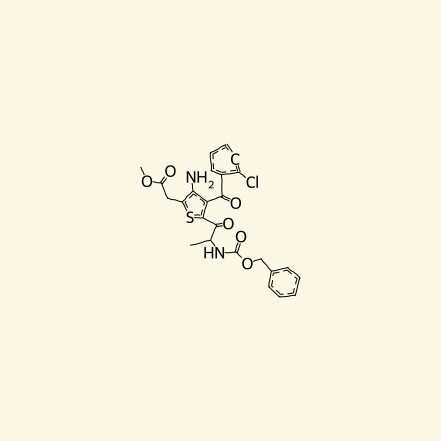 COC(=O)Cc1sc(C(=O)C(C)NC(=O)OCc2ccccc2)c(C(=O)c2ccccc2Cl)c1N